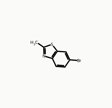 Cc1nc2ccc(Br)cc2s1